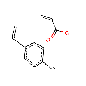 C=CC(=O)O.C=Cc1cc[c]([Cs])cc1